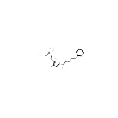 Cc1cc(C(=O)CCCCc2ccccc2)[nH]c1CC[C@@](C)(N)CO